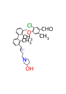 Cc1cc(OCc2cccc(-c3cccc(/C=C/CCN4CCC(O)C4)c3C)c2C)c(Cl)cc1C=O